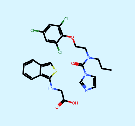 CCCN(CCOc1c(Cl)cc(Cl)cc1Cl)C(=O)n1ccnc1.O=C(O)CNc1scc2ccccc12